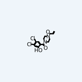 C=CC(=O)N1CCN(C(=O)c2cc(Cl)c(Cl)cc2O)CC1